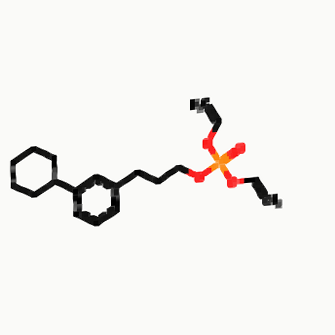 C=COP(=O)(OC=C)OCCCc1cccc(C2CCCCC2)c1